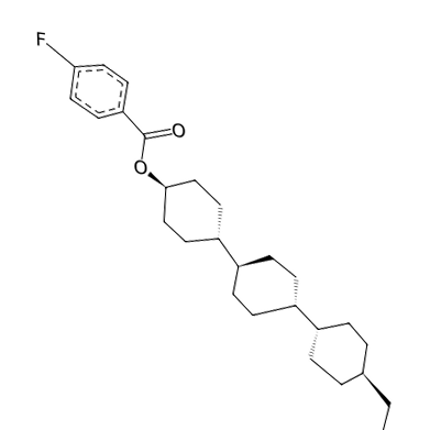 CCC[C@H]1CC[C@H]([C@H]2CC[C@H]([C@H]3CC[C@H](OC(=O)c4ccc(F)cc4)CC3)CC2)CC1